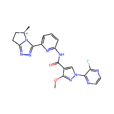 COc1nn(-c2nccnc2F)cc1C(=O)Nc1cccc(-c2nnc3n2[C@H](C)CC3)n1